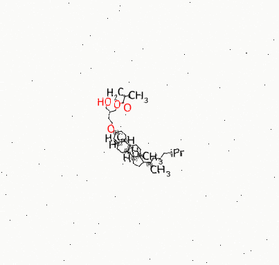 C=C(C)C(=O)OCC(CO)CCO[C@H]1CC[C@@]2(C)[C@@H](CC[C@@H]3[C@@H]2CC[C@]2(C)C([C@H](C)CCCC(C)C)CC[C@@H]32)C1